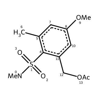 CNS(=O)(=O)c1c(C)cc(OC)cc1COC(C)=O